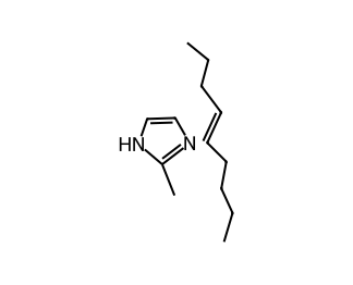 CCCC=CCCCC.Cc1ncc[nH]1